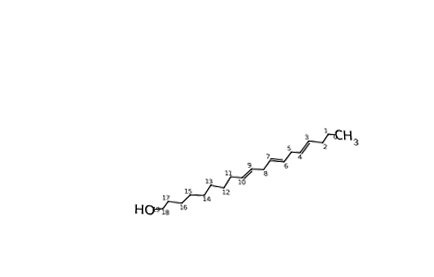 CCCC=CC/C=C/C/C=C/CCCCCCCCO